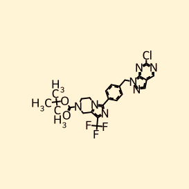 CC(C)(C)OC(=O)N1CCn2c(-c3ccc(Cn4ncc5cnc(Cl)nc54)cc3)nc(C(F)(F)F)c2C1